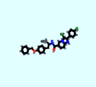 O=C(NC(Cc1ccc(OCc2ccccc2)cc1)C(=O)O)c1ccc2nc(-c3ccc(Cl)cc3)c(Cl)n2c1